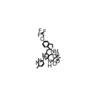 Cc1ccc(-n2nc3c(c2NC(=O)CS(C)(=O)=O)C(=O)N[C@@]2(CCc4cc(OCC(F)(F)F)ccc42)C3)nn1